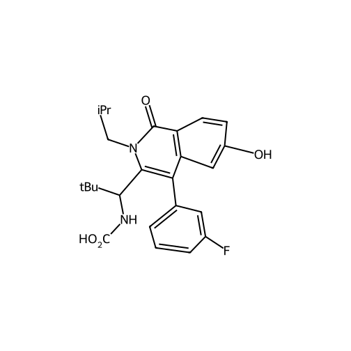 CC(C)Cn1c(C(NC(=O)O)C(C)(C)C)c(-c2cccc(F)c2)c2cc(O)ccc2c1=O